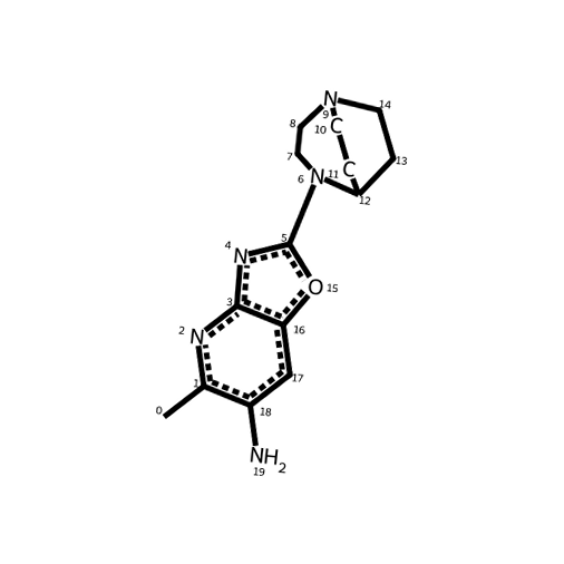 Cc1nc2nc(N3CCN4CCC3CC4)oc2cc1N